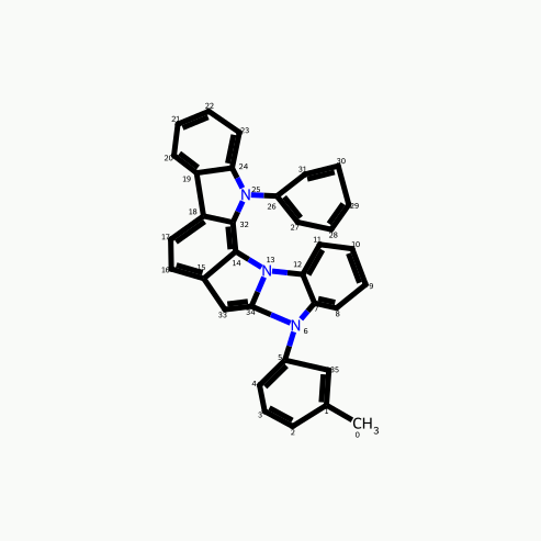 Cc1cccc(-n2c3ccccc3n3c4c(ccc5c6ccccc6n(-c6ccccc6)c54)cc23)c1